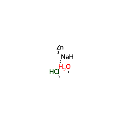 Cl.O.[NaH].[Zn]